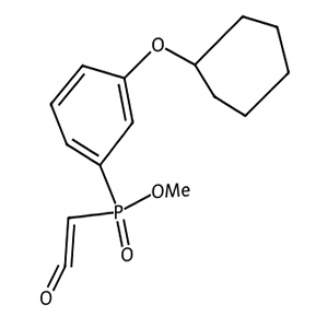 COP(=O)(C=C=O)c1cccc(OC2CCCCC2)c1